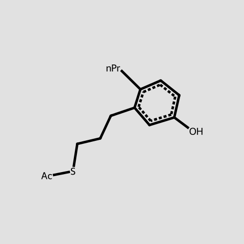 CCCc1ccc(O)cc1CCCSC(C)=O